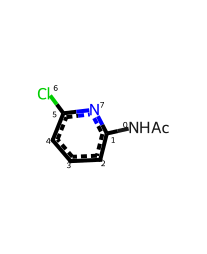 CC(=O)Nc1cccc(Cl)n1